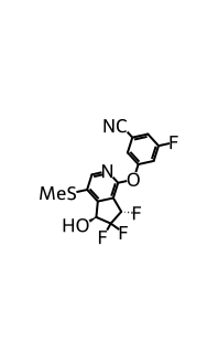 CSc1cnc(Oc2cc(F)cc(C#N)c2)c2c1[C@H](O)C(F)(F)[C@H]2F